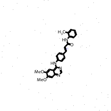 COc1cc2ncnc(Nc3ccc(/C=C/C(=O)Nc4ccccc4C)cc3)c2cc1OC